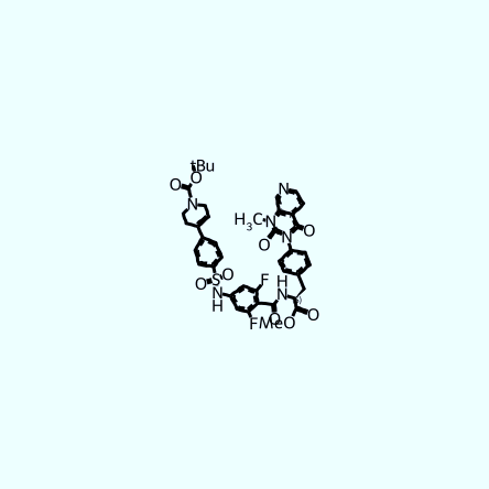 COC(=O)[C@H](Cc1ccc(-n2c(=O)c3ccncc3n(C)c2=O)cc1)NC(=O)c1c(F)cc(NS(=O)(=O)c2ccc(C3=CCN(C(=O)OC(C)(C)C)CC3)cc2)cc1F